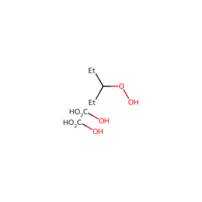 CCC(CC)OO.O=C(O)O.O=C(O)O